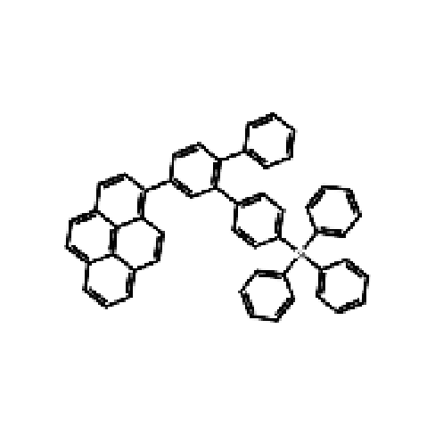 c1ccc(-c2ccc(-c3ccc4ccc5cccc6ccc3c4c56)cc2-c2ccc([Si](c3ccccc3)(c3ccccc3)c3ccccc3)cc2)cc1